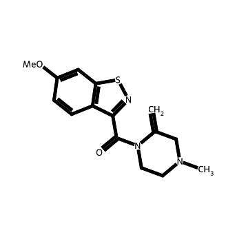 C=C1CN(C)CCN1C(=O)c1nsc2cc(OC)ccc12